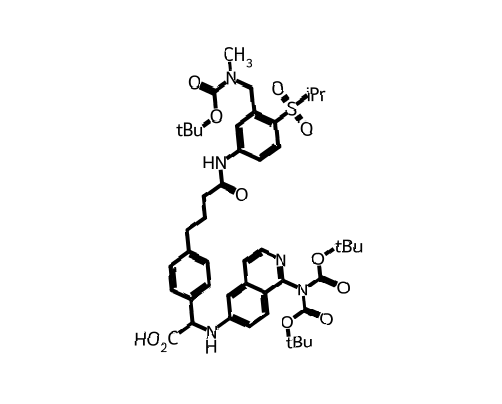 CC(C)S(=O)(=O)c1ccc(NC(=O)CCCc2ccc(C(Nc3ccc4c(N(C(=O)OC(C)(C)C)C(=O)OC(C)(C)C)nccc4c3)C(=O)O)cc2)cc1CN(C)C(=O)OC(C)(C)C